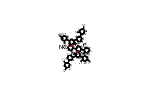 Cc1ccc(-c2ccc3c(c2)c2cc(-c4ccc(C)cc4C)ccc2n3-c2cc(C#N)ccc2-c2ccc(-c3c(C(F)(F)F)cccc3C(F)(F)F)cc2-n2c3ccc(-c4ccc(C)cc4C)cc3c3cc(-c4ccc(C)cc4C)ccc32)c(C)c1